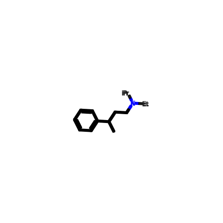 CCN(CCC(C)c1ccccc1)C(C)C